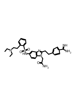 CCN(CC)CCc1ccccc1S(=O)(=O)Nc1ccc2c(c1)nc(CCc1ccc(C(=N)N)cc1)n2CC(N)=O